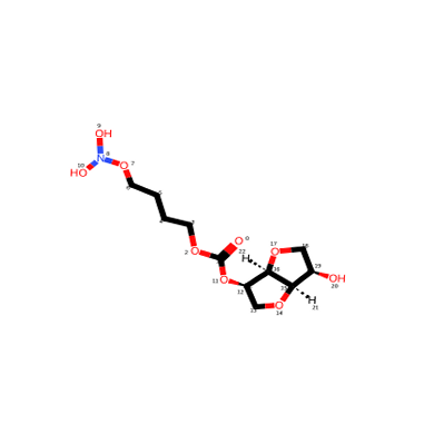 O=C(OCCCCON(O)O)O[C@@H]1CO[C@H]2[C@@H]1OC[C@H]2O